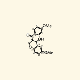 COc1ccc(C(=O)C2COc3ccc(OC)cc3C2O)cc1